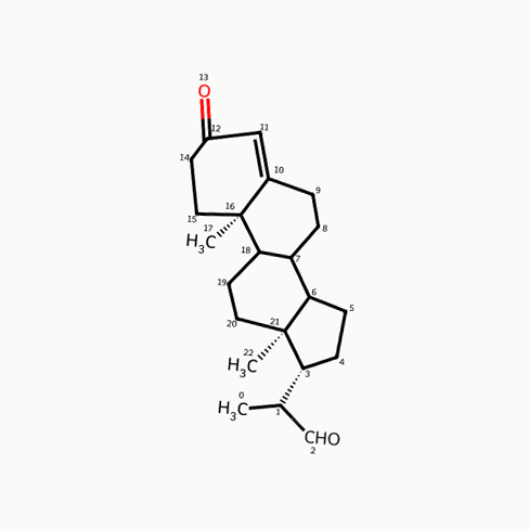 CC(C=O)[C@H]1CCC2C3CCC4=CC(=O)CC[C@]4(C)C3CC[C@@]21C